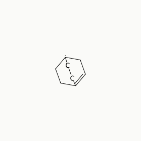 C1=C2CC[C](C1)CC2